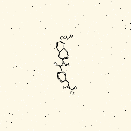 CCC(=O)NCc1cccc(C(=O)NC2=CCC3C=C(C(=O)O)C=CC3=C2)c1